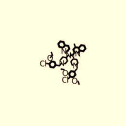 CCOc1cc(CN2CCC(N(c3ccc4ccccc4n3)N(c3cc(C)c4ccccc4n3)C3CCN(Cc4cc(OCC)c(Cl)c(OCC)c4)CC3)CC2)ccc1Cl